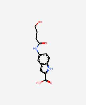 O=C(CCCO)Nc1ccc2[nH]c(C(=O)O)cc2c1